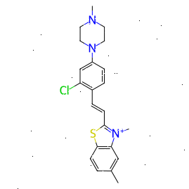 Cc1ccc2sc(/C=C/c3ccc(N4CCN(C)CC4)cc3Cl)[n+](C)c2c1